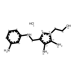 Cl.Nc1cccc(NCc2nn(CCO)c(N)c2N)c1